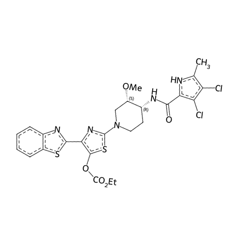 CCOC(=O)Oc1sc(N2CC[C@@H](NC(=O)c3[nH]c(C)c(Cl)c3Cl)[C@@H](OC)C2)nc1-c1nc2ccccc2s1